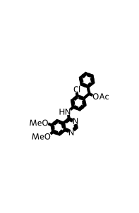 COc1cc2ncnc(Nc3ccc(C(OC(C)=O)c4ccccc4)c(Cl)c3)c2cc1OC